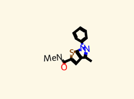 CNC(=O)c1cc2c(C)nn(-c3ccccc3)c2s1